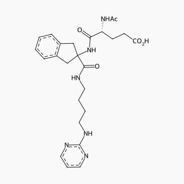 CC(=O)N[C@H](CCC(=O)O)C(=O)NC1(C(=O)NCCCCNc2ncccn2)Cc2ccccc2C1